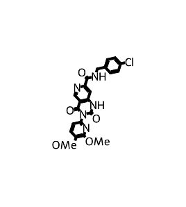 COc1ccc(-n2c(=O)[nH]c3cc(C(=O)NCc4ccc(Cl)cc4)ncc3c2=O)nc1OC